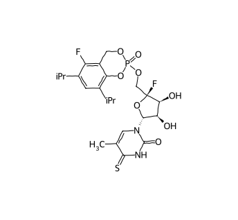 Cc1cn([C@@H]2O[C@](F)(COP3(=O)OCc4c(F)c(C(C)C)cc(C(C)C)c4O3)[C@@H](O)[C@H]2O)c(=O)[nH]c1=S